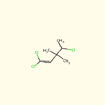 CC(Cl)C(C)(C)C=C(Cl)Cl